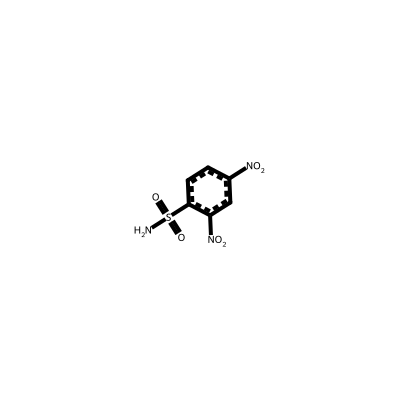 NS(=O)(=O)c1ccc([N+](=O)[O-])cc1[N+](=O)[O-]